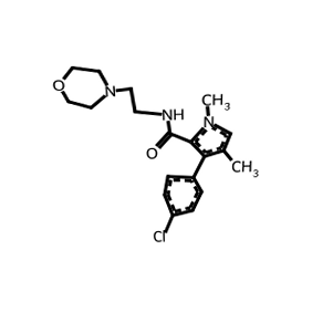 Cc1cn(C)c(C(=O)NCCN2CCOCC2)c1-c1ccc(Cl)cc1